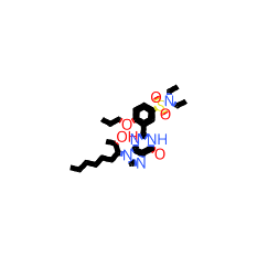 CCCCCCC(C(C)O)n1cnc2c(=O)[nH]c(-c3cc(S(=O)(=O)N(CC)CC)ccc3OCCC)nc21